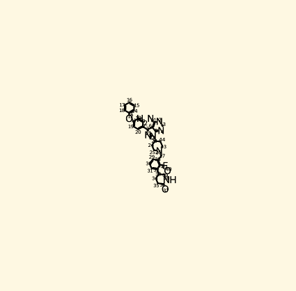 Nc1ncnc2c1c(-c1ccc(Oc3ccccc3)cc1)nn2C1CCN(Cc2cccc(C3CCC(=O)NC3=O)c2F)CC1